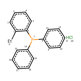 CCc1ccccc1P(c1ccccc1)c1ccccc1.Cl